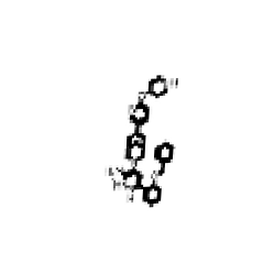 NC1=C(N2CC3C=C(c4ccc(OC5CCNCC5)nc4)CC(C3)C2)C=C(c2ccccc2OCc2ccccc2)NN1